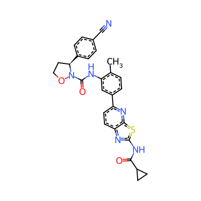 Cc1ccc(-c2ccc3nc(NC(=O)C4CC4)sc3n2)cc1NC(=O)N1OCC[C@H]1c1ccc(C#N)cc1